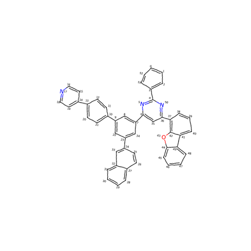 c1ccc(-c2nc(-c3cc(-c4ccc(-c5ccncc5)cc4)cc(-c4ccc5ccccc5c4)c3)cc(-c3cccc4c3oc3ccccc34)n2)cc1